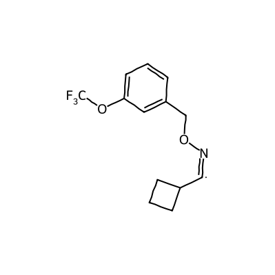 FC(F)(F)Oc1cccc(CO/N=[C]\C2CCC2)c1